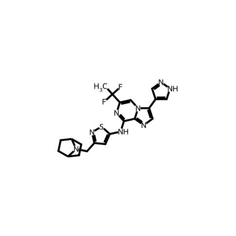 CC(F)(F)c1cn2c(-c3cn[nH]c3)cnc2c(Nc2cc(CN3C4CCC3CC4)ns2)n1